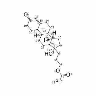 CCCC(=O)OCCCC1(O)CC[C@H]2[C@@H]3CCC4=CC(=O)CC[C@]4(C)[C@@H]3CC[C@@]21C